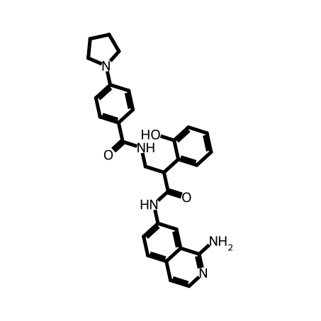 Nc1nccc2ccc(NC(=O)C(CNC(=O)c3ccc(N4CCCC4)cc3)c3ccccc3O)cc12